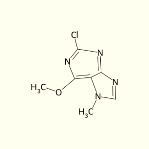 COc1nc(Cl)nc2ncn(C)c12